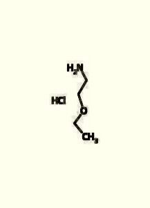 CCOCCN.Cl